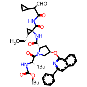 C=C[C@@H]1C[C@]1(NC(=O)[C@@H]1C[C@@H](Oc2nc(-c3ccccc3)cc3ccccc23)CN1C(=O)[C@@H](NC(=O)OC(C)(C)C)C(C)(C)C)C(=O)NC(=O)C(C=O)C1CC1